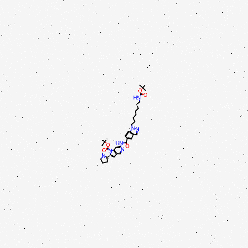 CN1CCC[C@@H]1c1cc2cnc(NC(=O)c3ccc4c(cnn4CCCCCCCCNC(=O)OC(C)(C)C)c3)cc2n1C(=O)OC(C)(C)C